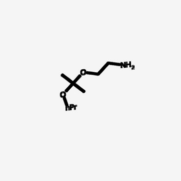 CCCOC(C)(C)OCCN